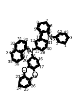 c1ccc(-n2c3ccccc3c3cc(N(c4ccc5c(c4)Oc4ccccc4O5)c4cccc5ccccc45)ccc32)cc1